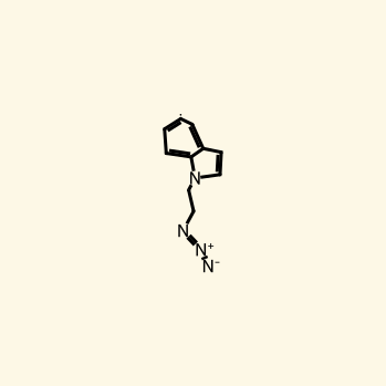 [N-]=[N+]=NCCn1ccc2c[c]ccc21